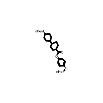 CCCCCCOc1ccc(OC(=O)C2CCC(C3CCC(CCCCC)CC3)CC2)cc1